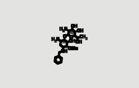 CO[C@@H]1C(NCc2ccccc2)CC(N)[C@@H](OC2OC(C(C)O)[C@@H](O)C(O)[C@@H]2N)C1O